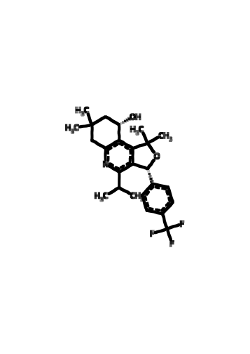 CC(C)c1nc2c(c3c1[C@@H](c1ccc(C(F)(F)F)cc1)OC3(C)C)[C@@H](O)CC(C)(C)C2